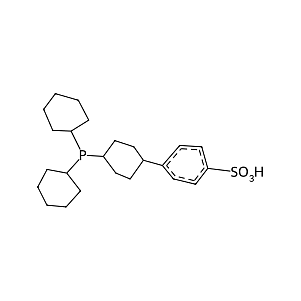 O=S(=O)(O)c1ccc(C2CCC(P(C3CCCCC3)C3CCCCC3)CC2)cc1